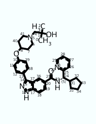 CC(C)(O)CN1CCC(Oc2ccc(-c3n[nH]c4ccc(C(=O)N[C@H](c5ccccn5)C5CCCC5)cc34)cc2)CC1